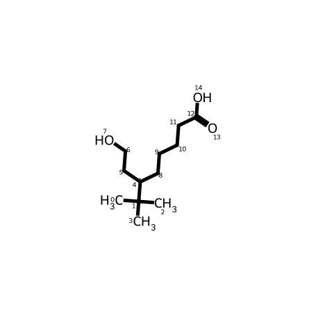 CC(C)(C)[C](CCO)CCCCC(=O)O